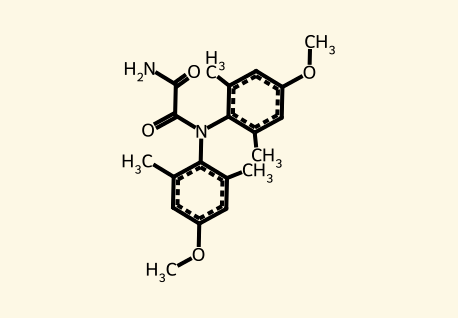 COc1cc(C)c(N(C(=O)C(N)=O)c2c(C)cc(OC)cc2C)c(C)c1